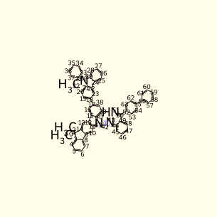 CC1(C)c2ccccc2-c2cc3c(cc21)c1cc(-c2ccc4c(c2)c2ccccc2n4C2(C)C=CC=CC2)ccc1n3/C=N/c1ccccc1C(=N)c1ccc(-c2ccccc2)cc1